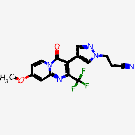 COc1ccn2c(=O)c(-c3cnn(CCC#N)c3)c(C(F)(F)F)nc2c1